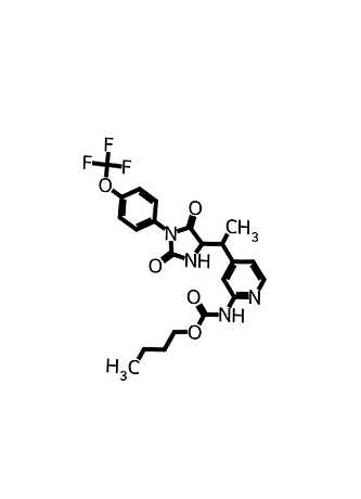 CCCCOC(=O)Nc1cc(C(C)C2NC(=O)N(c3ccc(OC(F)(F)F)cc3)C2=O)ccn1